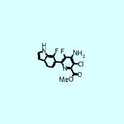 COC(=O)c1nc(-c2ccc3cc[nH]c3c2F)c(F)c(N)c1Cl